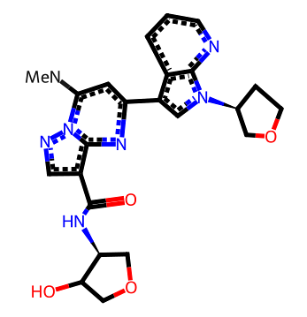 CNc1cc(-c2cn([C@H]3CCOC3)c3ncccc23)nc2c(C(=O)N[C@H]3COCC3O)cnn12